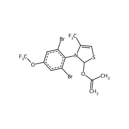 C=C(C)OC1SC=C(C(F)(F)F)N1c1c(Br)cc(OC(F)(F)F)cc1Br